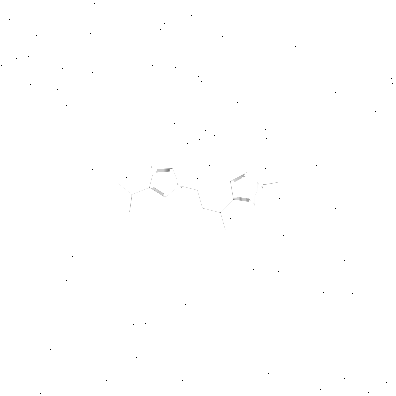 CC(C)c1cn(CCC(C)c2ccn(C)n2)cn1